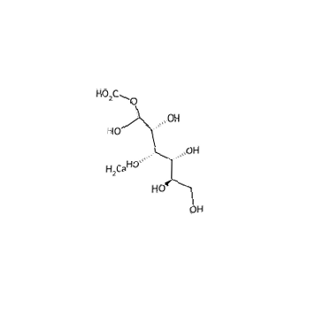 O=C(O)OC(O)[C@H](O)[C@@H](O)[C@H](O)[C@H](O)CO.[CaH2]